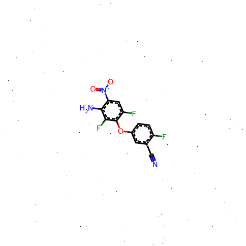 N#Cc1cc(Oc2c(F)cc([N+](=O)[O-])c(N)c2F)ccc1F